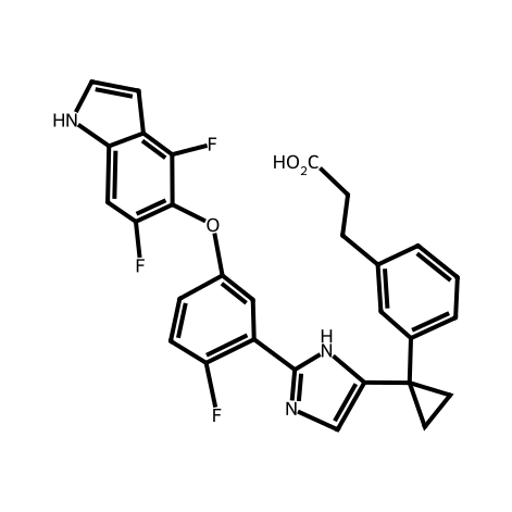 O=C(O)CCc1cccc(C2(c3cnc(-c4cc(Oc5c(F)cc6[nH]ccc6c5F)ccc4F)[nH]3)CC2)c1